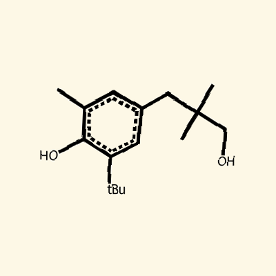 Cc1cc(CC(C)(C)CO)cc(C(C)(C)C)c1O